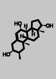 C[C@@H]1C[C@@]2(C)C(=C[C@H](O)[C@H]3[C@@H]4CC[C@H](O)[C@@]4(C)CC[C@@H]32)C[C@H]1O